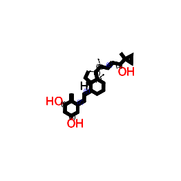 C=C1/C(=C\C=C2/CCC[C@]3(C)[C@@H]([C@H](C)/C=C/[C@H](O)C4(C)CC4)CC[C@@H]23)C[C@@H](O)C[C@@H]1O